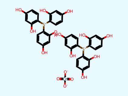 Oc1ccc([S+](c2ccc(O)cc2O)c2ccc(O)cc2O)c(O)c1.Oc1ccc([S+](c2ccc(O)cc2O)c2ccc(O)cc2O)c(O)c1.[O]=[Cr](=[O])([O-])[O-]